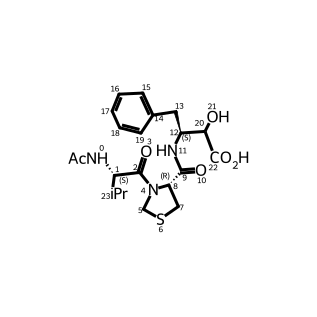 CC(=O)N[C@H](C(=O)N1CSC[C@H]1C(=O)N[C@@H](Cc1ccccc1)C(O)C(=O)O)C(C)C